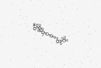 CCc1cc(Nc2ncc(Cl)c(Nc3ccccc3P(C)(C)=O)n2)c(OC)cc1N1CCC(N2CCN([C@H]3C[C@@H](Oc4cccc5c4CN(C4CCC(=O)NC4=O)C5=O)C3)CC2)CC1